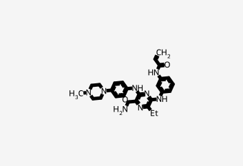 C=CC(=O)Nc1cccc(Nc2nc(Nc3ccc(N4CCN(C)CC4)cc3)c(C(N)=O)nc2CC)c1